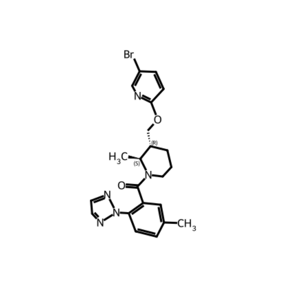 Cc1ccc(-n2nccn2)c(C(=O)N2CCC[C@@H](COc3ccc(Br)cn3)[C@@H]2C)c1